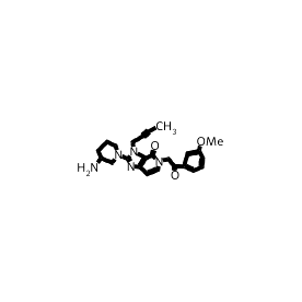 CC#CCn1c(N2CCCC(N)C2)nc2ccn(CC(=O)c3cccc(OC)c3)c(=O)c21